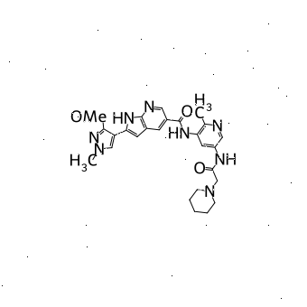 COc1nn(C)cc1-c1cc2cc(C(=O)Nc3cc(NC(=O)CN4CCCCC4)cnc3C)cnc2[nH]1